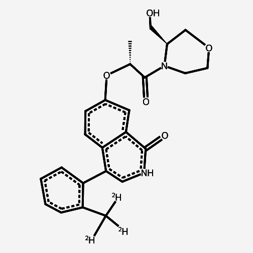 [2H]C([2H])([2H])c1ccccc1-c1c[nH]c(=O)c2cc(O[C@H](C)C(=O)N3CCOC[C@@H]3CO)ccc12